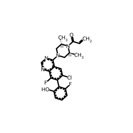 C=CC(=O)N1[C@@H](C)CN(c2ncnc3c(F)c(-c4c(O)cccc4F)c(Cl)cc23)C[C@@H]1C